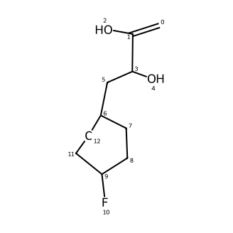 C=C(O)C(O)CC1CCC(F)CC1